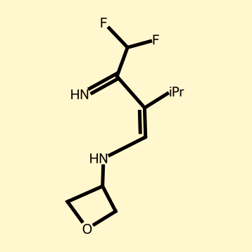 CC(C)/C(=C/NC1COC1)C(=N)C(F)F